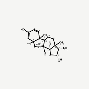 C[C@]12C=CC(O)=C[C@H]1CC[C@@H]1[C@@H]2CC[C@]2(C)[C@H](N)[C@H](O)C[C@@H]12